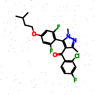 Cc1nn(C)c(-c2c(F)cc(OCCC(C)C)cc2F)c1C(=O)c1ccc(F)cc1Cl